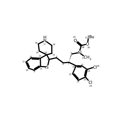 CN(C[C@@H](CCC1Sc2ccccc2C12CCNCC2)c1ccc(Cl)c(Cl)c1)C(=O)OC(C)(C)C